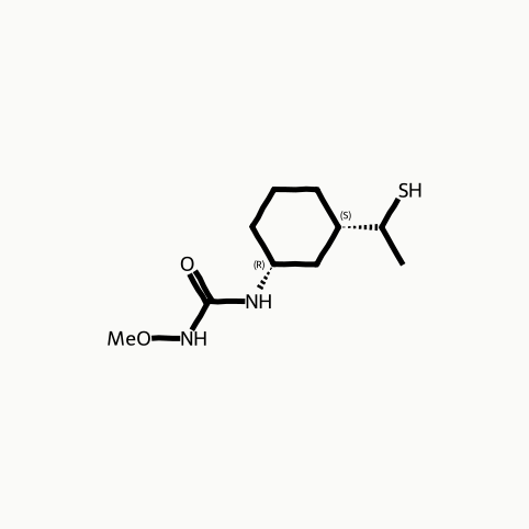 CONC(=O)N[C@@H]1CCC[C@H](C(C)S)C1